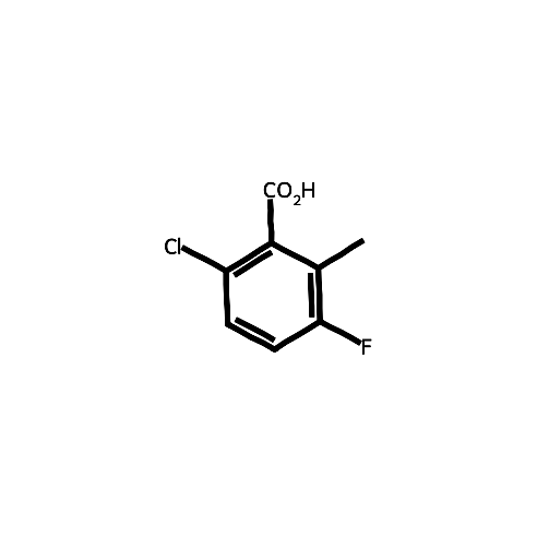 Cc1c(F)ccc(Cl)c1C(=O)O